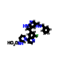 O=C(O)N[C@@H]1CCCN(c2ccnc3c(F)cc(-c4c[nH]c5ncc(CNCc6ccccc6)cc45)cc23)C1